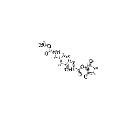 CC(C)(C)OC(=O)NCc1ccc(/C=C/C(=O)ON2C(=O)CCC2=O)c(O)c1